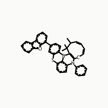 CC1/C=C\C=C/CC2=C(B3c4ccc(-c5cccc6c5oc5ccccc56)cc4Sc4cccc(c43)N2c2ccccc2)C1(C)C